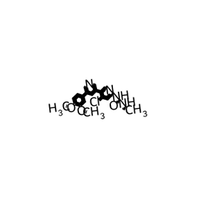 CCNC(=O)Nc1cc(Cl)c(-c2cncc(-c3ccc(OC)c(OC)c3)c2)cn1